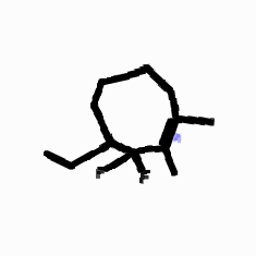 CCC1CCCC/C(C)=C(/C)C1(F)F